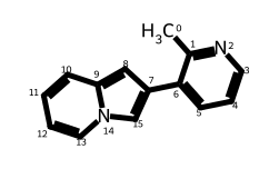 Cc1ncccc1-c1cc2ccccn2c1